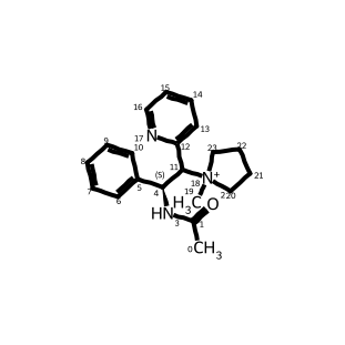 CC(=O)N[C@@H](c1ccccc1)C(c1ccccn1)[N+]1(C)CCCC1